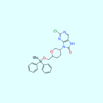 CC(C)(C)[Si](OCC1CCC(n2c(=O)[nH]c3cnc(Cl)nc32)CO1)(c1ccccc1)c1ccccc1